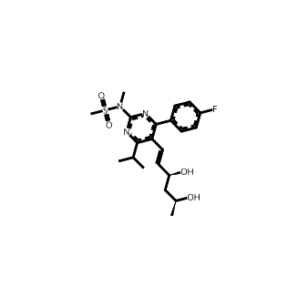 CC(C)c1nc(N(C)S(C)(=O)=O)nc(-c2ccc(F)cc2)c1/C=C/[C@@H](O)C[C@H](C)O